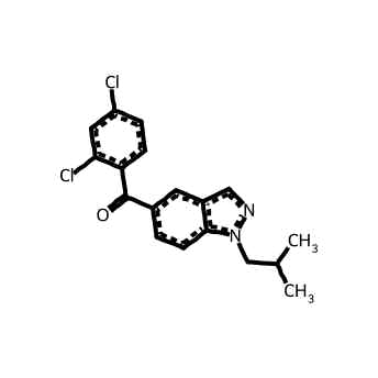 CC(C)Cn1ncc2cc(C(=O)c3ccc(Cl)cc3Cl)ccc21